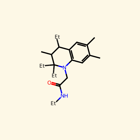 CCNC(=O)CN1c2cc(C)c(C)cc2C(CC)C(C)C1(CC)CC